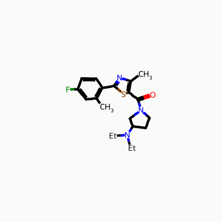 CCN(CC)C1CCN(C(=O)c2sc(-c3ccc(F)cc3C)nc2C)C1